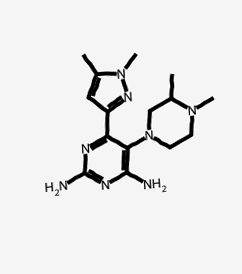 Cc1cc(-c2nc(N)nc(N)c2N2CCN(C)C(C)C2)nn1C